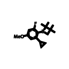 COc1cc(F)c(B2CC(C)(C)C2(C)C)c(C2CC2)c1